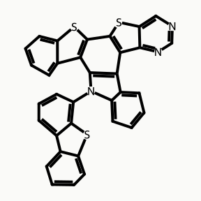 c1ccc2c(c1)sc1c(-n3c4ccccc4c4c5c6ncncc6sc5c5sc6ccccc6c5c43)cccc12